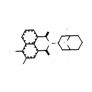 CN1[C@@H]2CCC[C@H]1C[C@@H](N1C(=O)c3cccc4c(N)c(Cl)cc(c34)C1=O)C2